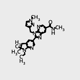 CCN1c2ncc(-c3nc4cc(C(=O)NC)cnc4n3Cc3ccn(C)n3)cc2CC1(C)C